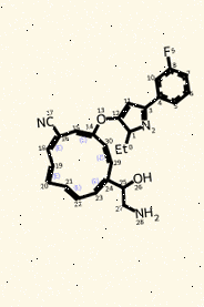 CCC1N=C(c2cccc(F)c2)C=C1OC1=C/C(C#N)=C\C=C\C=C\C=C(C(O)CN)/C=C\1